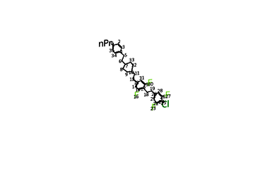 CCCc1ccc(CCC2CCC(CCc3cc(F)c(CCc4cc(F)c(Cl)c(F)c4)c(F)c3)CC2)cc1